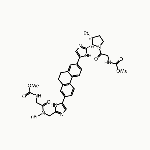 CCCN(Cc1ncc(-c2ccc3c(c2)CCc2cc(-c4cnc([C@@H]5[C@H](CC)CCN5C(=O)CNC(=O)OC)[nH]4)ccc2-3)[nH]1)C(=O)CNC(=O)OC